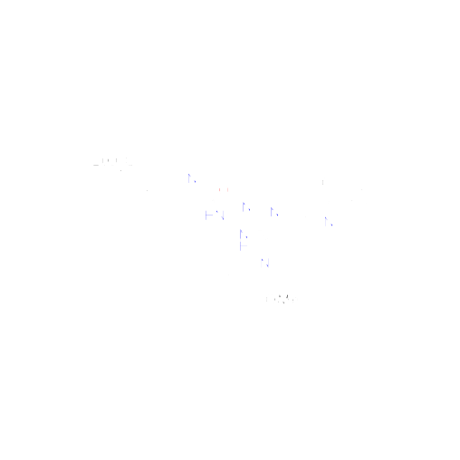 CCOC(=O)C1CC1c1ccc(C(=O)Nc2nc3nc(-c4cnc(C5CC5)c(C(F)(F)F)c4)cc(N(C)CC4(COC)CCCC4)c3[nH]2)nc1